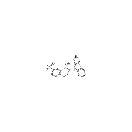 CS(=O)(=O)c1ccc2c(c1)C(O)C([C@H]1c3ccccc3-c3cncn31)CC2